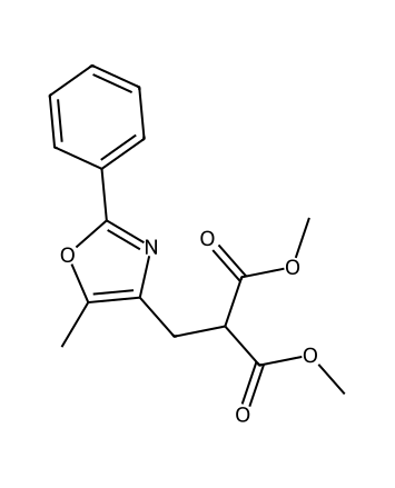 COC(=O)C(Cc1nc(-c2ccccc2)oc1C)C(=O)OC